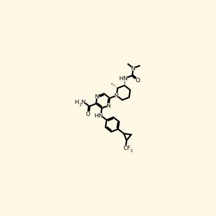 C[C@@H]1[C@H](NC(=O)N(C)C)CCCN1c1cnc(C(N)=O)c(Nc2ccc(C3CC3C(F)(F)F)cc2)n1